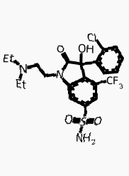 CCN(CC)CCN1C(=O)C(O)(c2ccccc2Cl)c2c1cc(S(N)(=O)=O)cc2C(F)(F)F